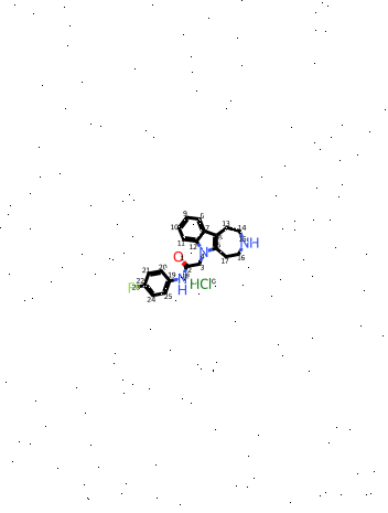 Cl.O=C(Cn1c2c(c3ccccc31)CCNCC2)Nc1ccc(F)cc1